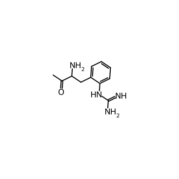 CC(=O)C(N)Cc1ccccc1NC(=N)N